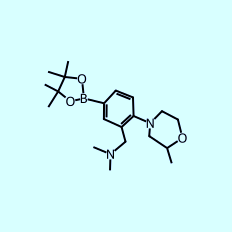 CC1CN(c2ccc(B3OC(C)(C)C(C)(C)O3)cc2CN(C)C)CCO1